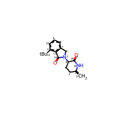 C=C1CCC(N2Cc3cccc(C(C)(C)C)c3C2=O)C(=O)N1